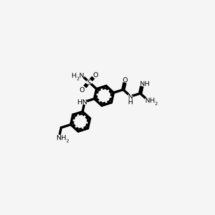 N=C(N)NC(=O)c1ccc(Nc2cccc(CN)c2)c(S(N)(=O)=O)c1